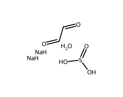 O.O=CC=O.O=S(O)O.[NaH].[NaH]